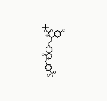 CC(C)(C)OC(=O)NC(CCN1CCC2(CC1)CCN(Cc1ccc(S(C)(=O)=O)cc1)C2=O)c1ccc(Cl)cc1